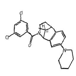 C[C@H]1C2CCN(C(=O)c3cc(Cl)cc(Cl)c3)C1c1cc(N3CCCCC3)ccc12